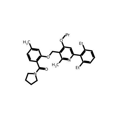 CCc1cccc(CC)c1-c1cc(OC(C)C)c(COc2cc(C)ccc2C(=O)N2CCCC2)c(C)n1